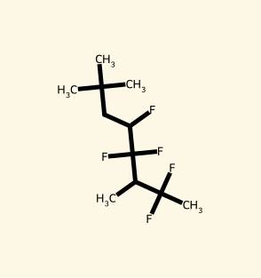 CC(C(C)(F)F)C(F)(F)C(F)CC(C)(C)C